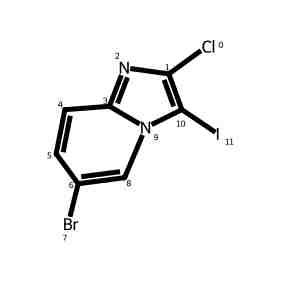 Clc1nc2ccc(Br)cn2c1I